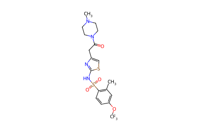 Cc1cc(OC(F)(F)F)ccc1S(=O)(=O)Nc1nc(CC(=O)N2CCN(C)CC2)cs1